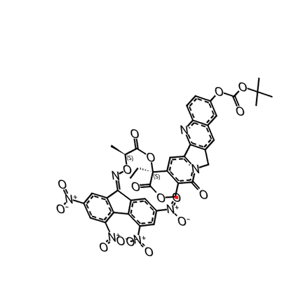 CC[C@@]1(OC(=O)[C@H](C)ON=C2c3cc([N+](=O)[O-])cc([N+](=O)[O-])c3-c3c2cc([N+](=O)[O-])cc3[N+](=O)[O-])C(=O)OCc2c1cc1n(c2=O)Cc2cc3cc(OC(=O)OC(C)(C)C)ccc3nc2-1